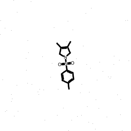 CC1=C(C)CN(S(=O)(=O)c2ccc(C)cc2)C1